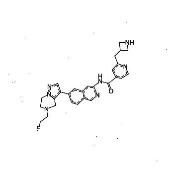 O=C(Nc1cc2cc(-c3cnn4c3CN(CCF)CC4)ccc2cn1)c1ccnc(CC2CNC2)c1